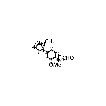 COc1cc(-c2cnnn2C)ccc1NC=O